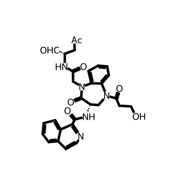 CC(=O)C[C@@H](C=O)NC(=O)CN1C(=O)[C@@H](NC(=O)c2nccc3ccccc23)CN(C(=O)CCO)c2ccccc21